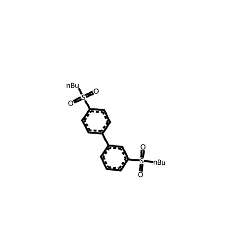 CCCCS(=O)(=O)c1ccc(-c2cccc(S(=O)(=O)CCCC)c2)cc1